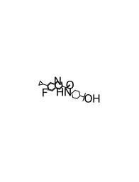 CC(C)(O)C1CCC(NC(=O)c2cnc3cc(C4CC4)c(F)cc3c2)CC1